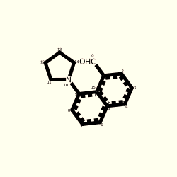 O=Cc1cccc2cccc(N3CCCC3)c12